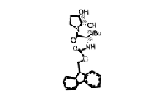 CC[C@H](C)[C@H](NC(=O)OCC1c2ccccc2-c2ccccc21)C(=O)N1CC[C@H](O)[C@@H]1C#N